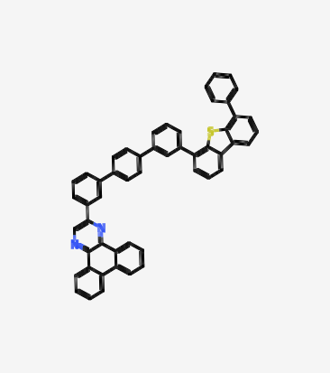 c1ccc(-c2cccc3c2sc2c(-c4cccc(-c5ccc(-c6cccc(-c7cnc8c9ccccc9c9ccccc9c8n7)c6)cc5)c4)cccc23)cc1